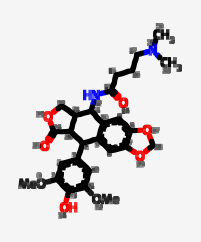 COc1cc(C2c3cc4c(cc3C(NC(=O)CCCN(C)C)C3COC(=O)C23)OCO4)cc(OC)c1O